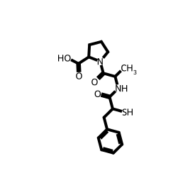 CC(NC(=O)C(S)Cc1ccccc1)C(=O)N1CCCC1C(=O)O